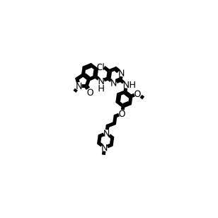 COc1cc(OCCCN2CCN(C)CC2)ccc1Nc1ncc(Cl)c(Nc2cccc3c2C(=O)N(C)C3)n1